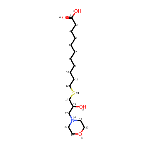 O=C(O)CCCCCCCCCCSCC(O)CN1CCOCC1